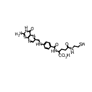 Nc1nc2ncc(CNc3ccc(C(=O)NC(CCC(=O)NCCS)C(=O)O)cc3)nc2c(=O)[nH]1